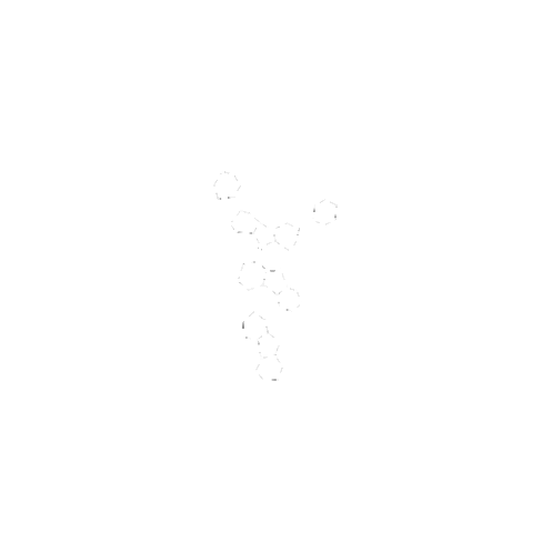 c1ccc(-c2ccc3c(c2)c2cc(-c4ccccc4)ccc2n3-c2cccc3c2sc2cccc(-c4cccc5c4sc4ccccc45)c23)cc1